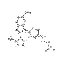 COc1cc2c(cn1)nc(-c1nonc1N)n2-c1ccc(OCCN(C)C)cc1